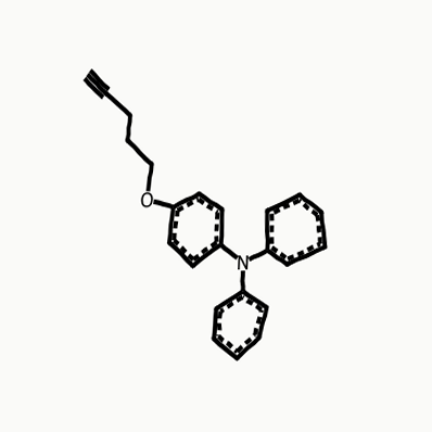 C#CCCCOc1ccc(N(c2ccccc2)c2ccccc2)cc1